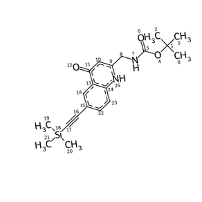 CC(C)(C)OC(=O)NCc1cc(=O)c2cc(C#C[Si](C)(C)C)ccc2[nH]1